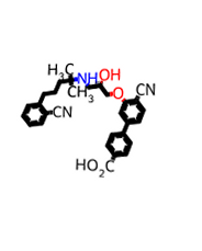 CC(C)(CCCc1ccccc1C#N)NC[C@@H](O)COc1cc(-c2ccc(C(=O)O)cc2)ccc1C#N